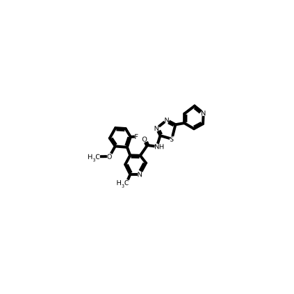 COc1cccc(F)c1-c1cc(C)ncc1C(=O)Nc1nnc(-c2ccncc2)s1